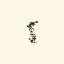 CCCN(Cc1ncc(-c2ccc3c(c2)OCCc2c-3oc3ccc(-c4cnc(C5CCCN5C(=O)C(NC(=O)OC)C(C)C)[nH]4)cc23)[nH]1)C(=O)C(NC(=O)OC)C(C)C